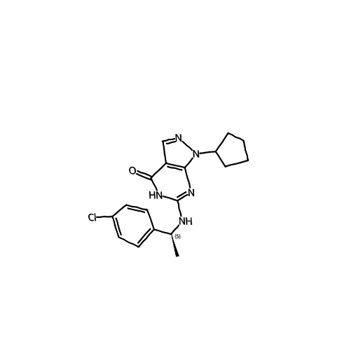 C[C@H](Nc1nc2c(cnn2C2CCCC2)c(=O)[nH]1)c1ccc(Cl)cc1